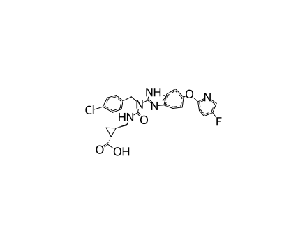 N/C(=N\c1ccc(Oc2ccc(F)cn2)cc1)N(Cc1ccc(Cl)cc1)C(=O)NC[C@@H]1C[C@H]1C(=O)O